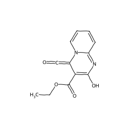 CCOC(=O)C1=C(O)N=C2C=CC=CN2C1=C=O